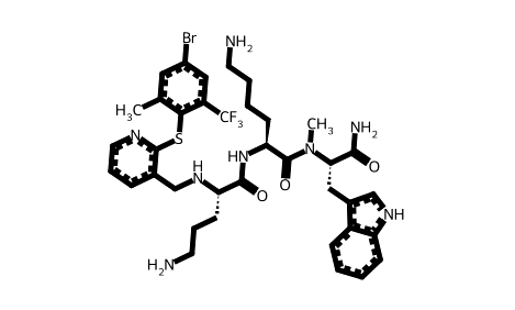 Cc1cc(Br)cc(C(F)(F)F)c1Sc1ncccc1CN[C@@H](CCCN)C(=O)N[C@@H](CCCCN)C(=O)N(C)[C@@H](Cc1c[nH]c2ccccc12)C(N)=O